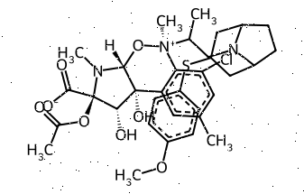 COc1ccc(SC2CC3CCC(C2)N3CC(C)[N@+]2(C)O[C@H]3N(C)[C@@](OC(C)=O)(C(=O)[O-])[C@@H](O)[C@]3(O)c3cc(C)cc(Cl)c32)cc1